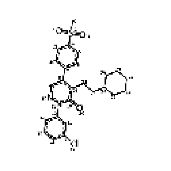 CS(=O)(=O)c1ccc(-c2cnn(-c3cccc(Cl)c3)c(=O)c2CCC2CCCCC2)cc1